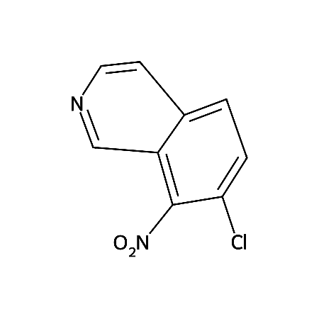 O=[N+]([O-])c1c(Cl)ccc2ccncc12